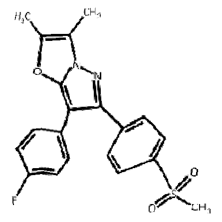 Cc1oc2c(-c3ccc(F)cc3)c(-c3ccc(S(C)(=O)=O)cc3)nn2c1C